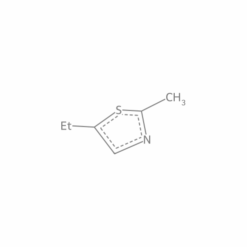 CCc1cnc(C)s1